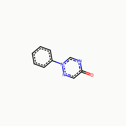 O=c1cnn(-c2ccccc2)cn1